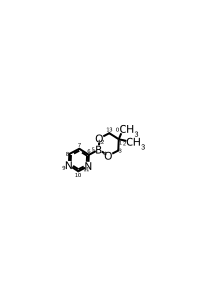 CC1(C)COB(c2ccncn2)OC1